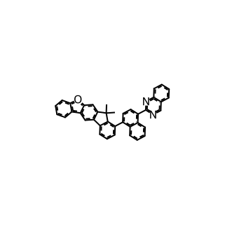 CC1(C)c2cc3oc4ccccc4c3cc2-c2cccc(-c3ccc(-c4ncc5ccccc5n4)c4ccccc34)c21